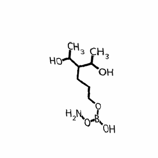 CC(O)C(CCCOB(O)ON)C(C)O